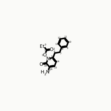 CCC(=O)On1c(CCc2ccccc2)ccc(N)c1=O